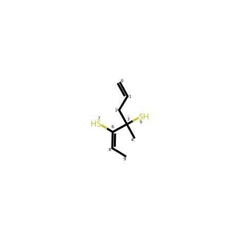 C=CCC(C)(S)/C(S)=C\C